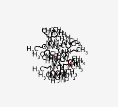 CCCCN(c1nc(NCCN(CCNc2nc(N(CCCC)C3CC(C)(C)NC(C)(C)C3)nc(N(CCCC)C3CC(C)(C)NC(C)(C)C3)n2)c2nc(N(CCCC)C3CC(C)(C)NC(C)(C)C3)nc(N(CCCC)C3CC(C)(C)NC(C)(C)C3)n2)nc(N(CCCC)C2CC(C)(C)NC(C)(C)C2)n1)C1CC(C)(C)NC(C)(C)C1